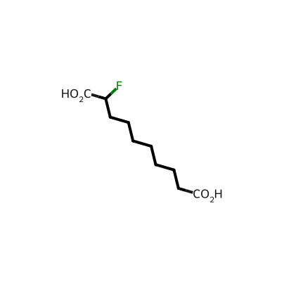 O=C(O)CCCCCCCC(F)C(=O)O